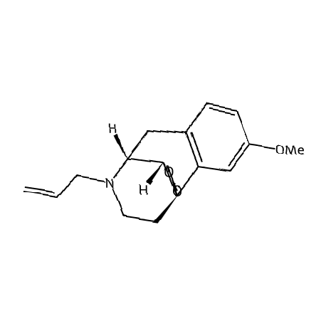 C=CCN1CC[C@]23COCO[C@H]2[C@H]1Cc1ccc(OC)cc13